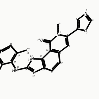 Cn1c(-c2cnco2)cc2ccc3nc(Nc4c(Cl)cccc4Cl)[nH]c3c2c1=O